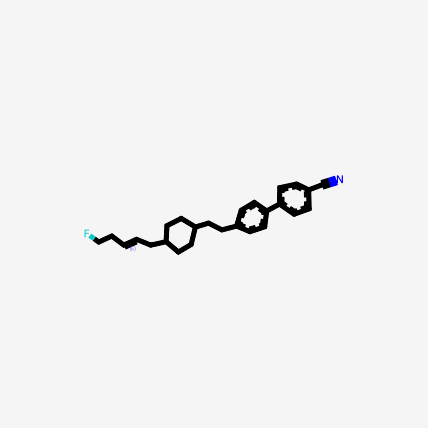 N#Cc1ccc(-c2ccc(CCC3CCC(C/C=C/CCF)CC3)cc2)cc1